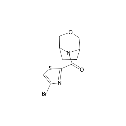 O=C(c1nc(Br)cs1)N1C2CCC1COC2